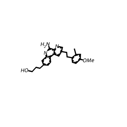 COc1ccc(CCc2cnc3c(N)nc4cc(CCCO)ccc4c3c2)c(C)c1